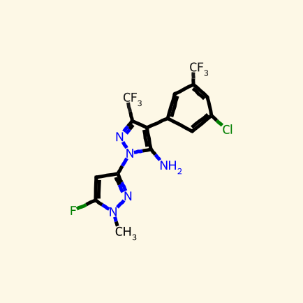 Cn1nc(-n2nc(C(F)(F)F)c(-c3cc(Cl)cc(C(F)(F)F)c3)c2N)cc1F